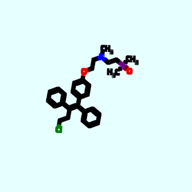 CN(CCOc1ccc(/C(=C(/CCCl)c2ccccc2)c2ccccc2)cc1)CCP(C)(C)=O